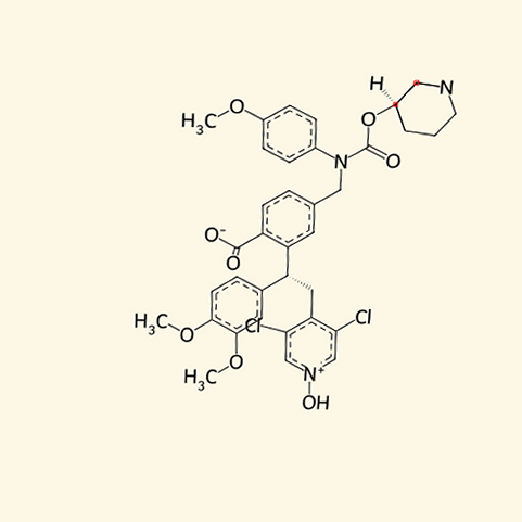 COc1ccc(N(Cc2ccc(C(=O)[O-])c([C@H](Cc3c(Cl)c[n+](O)cc3Cl)c3ccc(OC)c(OC)c3)c2)C(=O)O[C@H]2CN3CCC2CC3)cc1